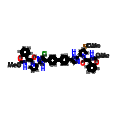 COS[C@H]1C[C@@H](c2ncc(-c3ccc(-c4ccc(-c5[nH]c([C@@H]6CCCN6C(=O)[C@@H](NC(=O)OC)c6ccccc6)nc5Cl)cc4)cc3)[nH]2)N(C(=O)[C@@H](NC(=O)OC)c2ccccc2)C1